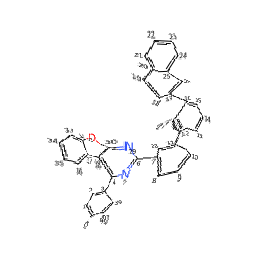 c1ccc(-c2nc(-c3cccc(-c4cccc(-c5ccc6ccccc6c5)c4)c3)nc3oc4ccccc4c23)cc1